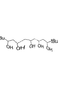 CC(C)(C)C(O)CC(O)CC(O)CC(O)CC(O)C(C)(C)C